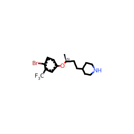 C[C@@H](CCC1CCNCC1)Oc1ccc(Br)c(C(F)(F)F)c1